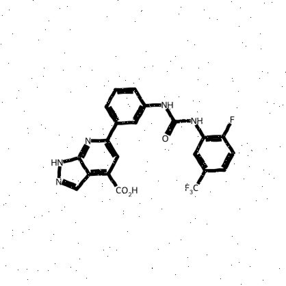 O=C(Nc1cccc(-c2cc(C(=O)O)c3cn[nH]c3n2)c1)Nc1cc(C(F)(F)F)ccc1F